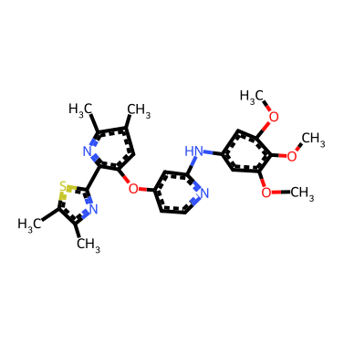 COc1cc(Nc2cc(Oc3cc(C)c(C)nc3-c3nc(C)c(C)s3)ccn2)cc(OC)c1OC